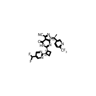 C[C@@H](c1ccc(C(F)(F)F)nc1)n1nc(C#N)c2c(=O)[nH]c([C@H]3CC[C@H]3c3ncc(C(F)F)cn3)nc21